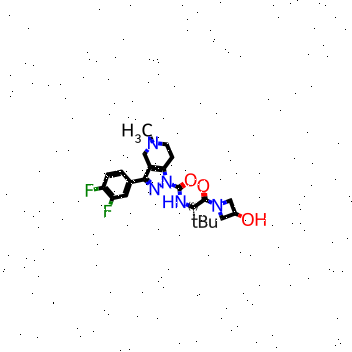 CN1CCc2c(c(-c3ccc(F)c(F)c3)nn2C(=O)N[C@H](C(=O)N2CC(O)C2)C(C)(C)C)C1